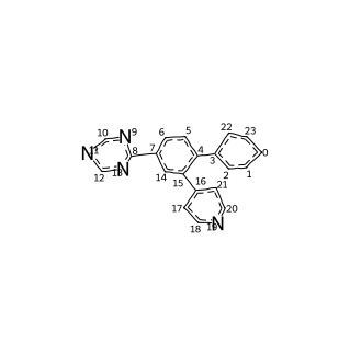 c1ccc(-c2ccc(-c3ncncn3)cc2-c2ccncc2)cc1